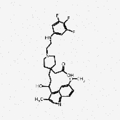 COc1ccc2ncc(C)c(C(O)CCC3(CC(=O)O)CCN(CCNc4cc(F)c(F)c(F)c4)CC3)c2c1